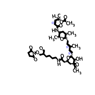 CC(=O)O[C@@H](C)/C=C\C(=O)N[C@@H]1C[C@H](C)[C@H](C/C=C(C)/C=C/[C@H]2O[C@H](CC(=O)NCCCCC(C=O)CON3C(=O)CCC3=O)C[C@]3(O[C@@H]3C)[C@@H]2O)O[C@@H]1C